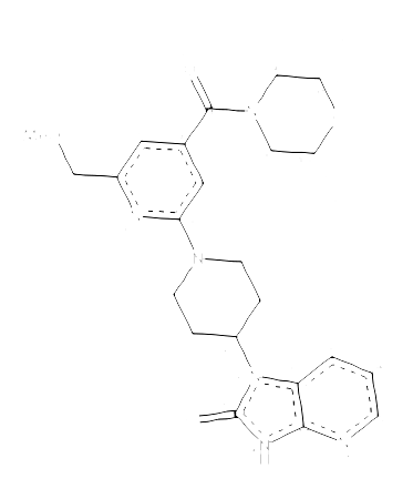 COCc1cc(C(=O)N2C[C@@H](C)O[C@@H](C)C2)cc(N2CCC(n3c(=O)[nH]c4ncccc43)CC2)n1